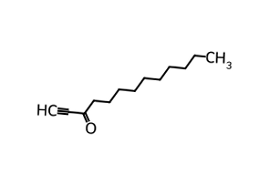 C#CC(=O)CCCCCCCCCC